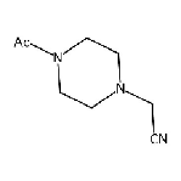 CC(=O)N1CCN(CC#N)CC1